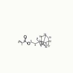 C=CC(=O)OCCC(C)(C)C12CC3CC(CC(C3)C1)C2